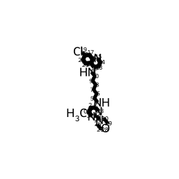 Cc1cc(NCCCCCCNc2ccnc3cc(Cl)ccc23)nc(N2CCOCC2)n1